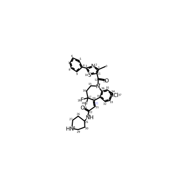 Cc1nc(-c2ccccc2)sc1C(=O)N1CCC(F)(F)/C(=C\C(=O)NC2CCNCC2)c2ccccc21.Cl